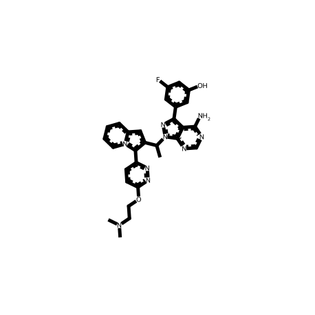 CC(c1cc2ccccn2c1-c1ccc(OCCN(C)C)nn1)n1nc(-c2cc(O)cc(F)c2)c2c(N)ncnc21